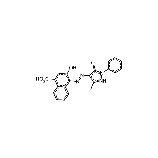 Cc1[nH]n(-c2ccccc2)c(=O)c1/N=N/c1c(O)cc(C(=O)O)c2ccccc12